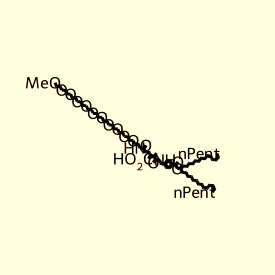 CCCCC/C=C\C/C=C\CCCCCCCCC(CCCCCCCC/C=C\C/C=C\CCCCC)OC(=O)c1ccc(CNC(=O)/C(C)=C(/CCC(=O)NCCOCCOCCOCCOCCOCCOCCOCCOCCOCCOCCOC)C(=O)O)cc1